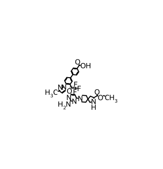 CCOC(=O)C1CC2(CCN(c3cc(O[C@@H](c4cc(-c5ccc(C(=O)O)cc5)ccc4-n4ccc(C)n4)C(F)(F)F)nc(N)n3)CC2)CN1